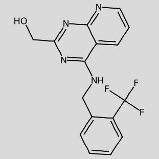 OCc1nc(NCc2ccccc2C(F)(F)F)c2cccnc2n1